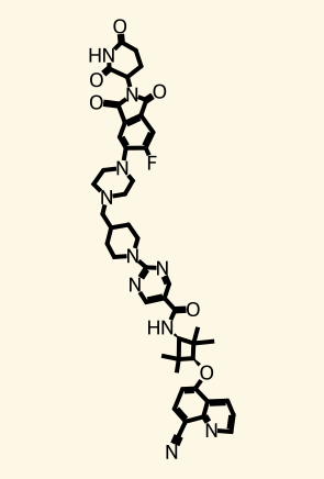 CC1(C)[C@H](NC(=O)c2cnc(N3CCC(CN4CCN(c5cc6c(cc5F)C(=O)N(C5CCC(=O)NC5=O)C6=O)CC4)CC3)nc2)C(C)(C)[C@H]1Oc1ccc(C#N)c2ncccc12